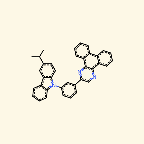 CC(C)c1ccc2c(c1)c1ccccc1n2-c1cccc(-c2cnc3c4ccccc4c4ccccc4c3n2)c1